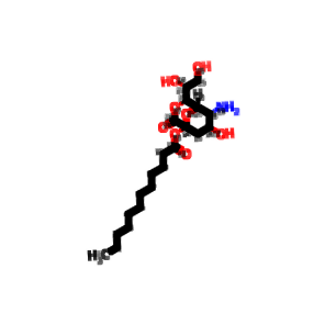 CCCCCCCCCCCC(=O)O[C@@]12C[C@H](O)[C@@H](N)[C@H](O1)[C@@H]([C@H](O)CO)OC2=O